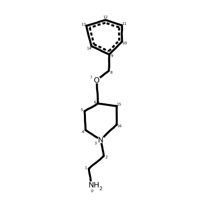 NCCN1CCC(OCc2ccccc2)CC1